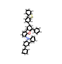 c1ccc(-c2ccc3c(c2)c2ccccc2n3-c2cccc3c2oc2c(-c4ccccc4)cc(-c4ccc5c(c4)sc4ccccc45)cc23)cc1